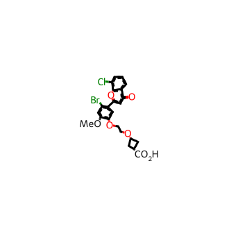 COc1cc(Br)c(-c2cc(=O)c3cccc(Cl)c3o2)cc1OCCOC1CC(C(=O)O)C1